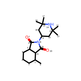 CC1CCCC2C(=O)N(C3CC(C)(C)NC(C)(C)C3)C(=O)C12